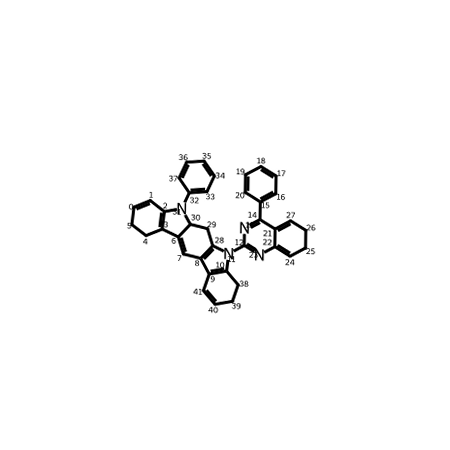 C1=CC2=C(CC1)C1=Cc3c4c(n(-c5nc(-c6ccccc6)c6c(n5)=CCCC=6)c3CC1N2c1ccccc1)CCC=C4